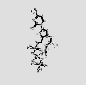 C[C@H](N=[N+]=[N-])O[C@@H]1C[C@H](n2ccc(N)nc2=O)OC1COP(=O)(O)OP(=O)(O)OP(=O)(O)O